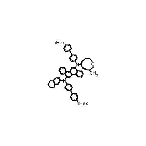 C=C1/C=C\C(N(c2ccc(-c3ccc(CCCCCC)cc3)cc2)c2cc3c4ccccc4c(N(c4ccc(-c5ccc(CCCCCC)cc5)cc4)c4ccc5c(c4)CCCC5)cc3c3ccccc23)=C/CCCCC1